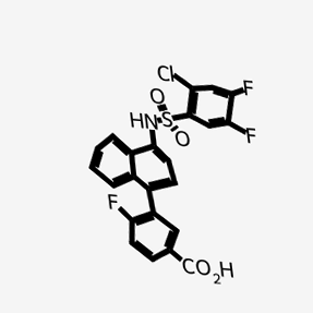 O=C(O)c1ccc(F)c(-c2ccc(NS(=O)(=O)c3cc(F)c(F)cc3Cl)c3ccccc23)c1